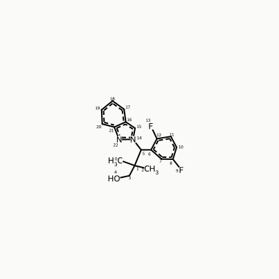 CC(C)(CO)C(c1cc(F)ccc1F)n1cc2ccccc2n1